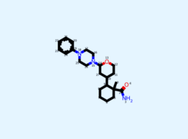 CC1(C(N)=O)CCCCC1C1CCOC(N2CCN(c3ccccc3)CC2)C1